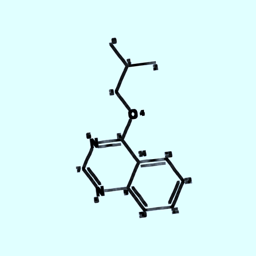 CC(C)COc1ncnc2ccccc12